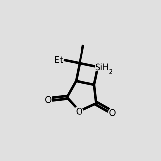 CCC1(C)[SiH2]C2C(=O)OC(=O)C21